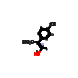 CCOC(=O)/C(=C(/C)O)c1ccc(C#N)cc1